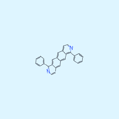 c1ccc(-c2nccc3cc4cc5c(-c6ccccc6)nccc5cc4cc23)cc1